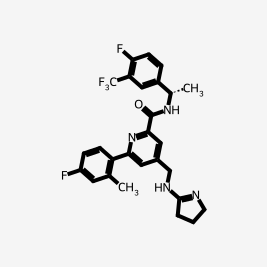 Cc1cc(F)ccc1-c1cc(CNC2=NCCC2)cc(C(=O)N[C@@H](C)c2ccc(F)c(C(F)(F)F)c2)n1